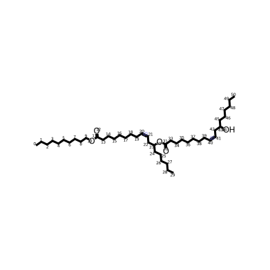 CCCCCCCCCCOC(=O)CCCCCCC/C=C\CC(CCCCCC)OC(=O)CCCCCCC/C=C\CC(O)CCCCCC